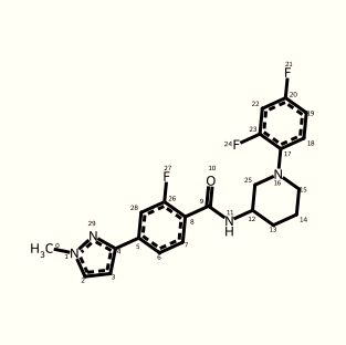 Cn1ccc(-c2ccc(C(=O)NC3CCCN(c4ccc(F)cc4F)C3)c(F)c2)n1